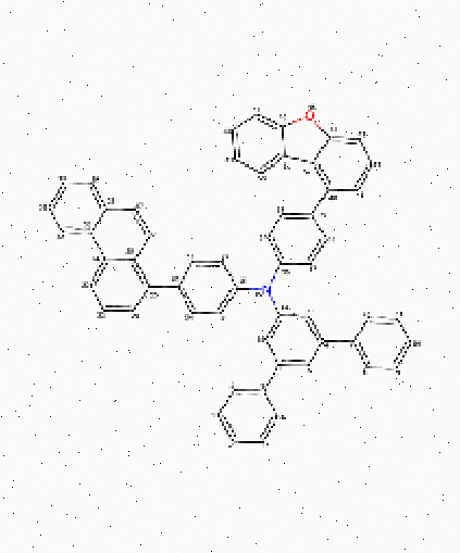 c1ccc(-c2cc(-c3ccccc3)cc(N(c3ccc(-c4cccc5c4ccc4ccccc45)cc3)c3ccc(-c4cccc5oc6ccccc6c45)cc3)c2)cc1